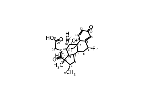 C[C@@H]1CC2C3C[C@H](F)C4=CC(=O)C=C[C@]4(C)[C@@]3(F)[C@@H](C)C[C@]2(C)[C@@]1(C)C(=O)SCC(=O)O